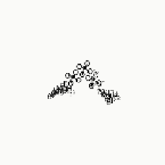 O=P([O-])([O-])[O-].O=P([O-])([O-])[O-].O=P([O-])([O-])[O-].[Al+3].[Al+3].[Al+3].[Al+3].[F-].[F-].[F-].[MgH2].[MgH2].[MgH2].[MgH2]